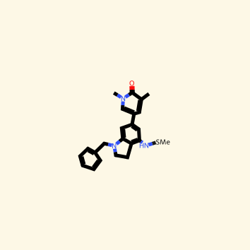 CSNc1cc(-c2cc(C)c(=O)n(C)c2)cc2c1CCN2Cc1ccccc1